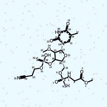 COC(=O)CNP(=O)(S)OC[C@H]1O[C@@H](n2cc(C)c(=O)[nH]c2=O)C(OC)C1OP(O)(=S)OCCC#N